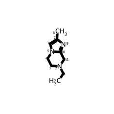 CCN1CCn2cc(C)nc2C1